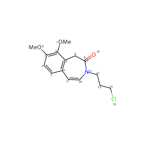 COc1ccc2c(c1OC)CC(=O)N(CCCCl)C=C2